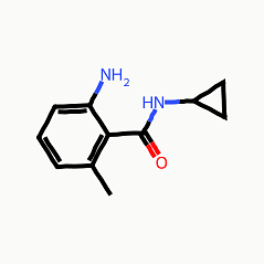 Cc1cccc(N)c1C(=O)NC1CC1